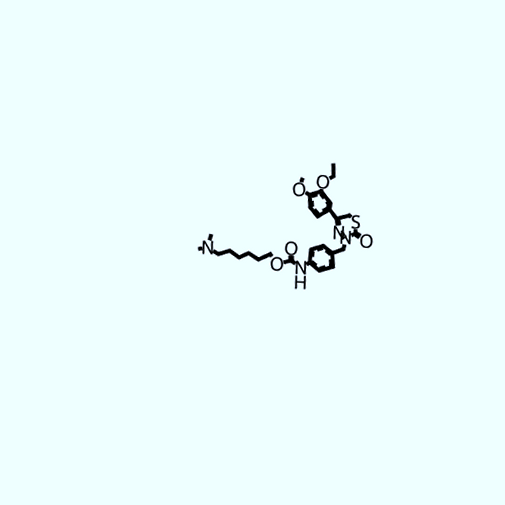 CCOc1cc(C2=NN(Cc3ccc(NC(=O)OCCCCCCN(C)C)cc3)C(=O)SC2)ccc1OC